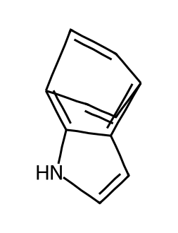 c1cc2c3ccc(cc3)c2[nH]1